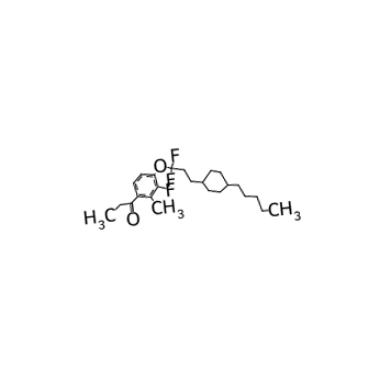 CCCCCC1CCC(CCC(F)(F)Oc2ccc(C(=O)CC)c(C)c2F)CC1